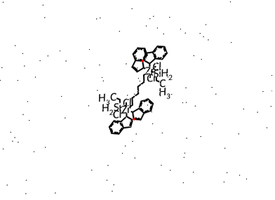 CC[SiH2][Zr]([Cl])([Cl])([CH2]CCCC[CH2][Zr]([Cl])([Cl])([SiH2]CC)([CH]1C=Cc2ccccc21)[CH]1C=Cc2ccccc21)([CH]1C=Cc2ccccc21)[CH]1C=Cc2ccccc21